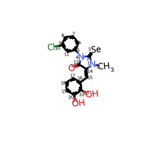 CN1C(=[Se])N(c2cccc(Cl)c2)C(=O)C1=Cc1cccc(O)c1O